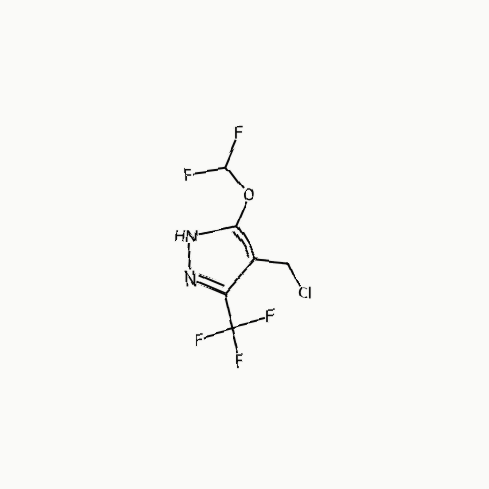 FC(F)Oc1[nH]nc(C(F)(F)F)c1CCl